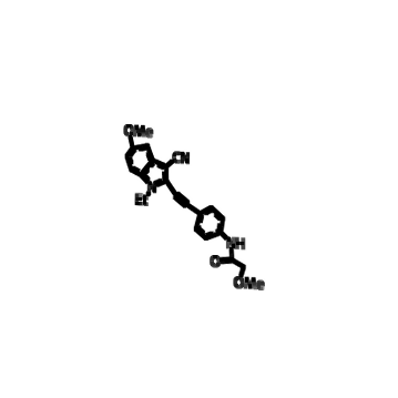 CCn1c(C#Cc2ccc(NC(=O)COC)cc2)c(C#N)c2cc(OC)ccc21